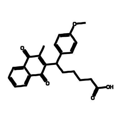 COc1ccc(C(CCCCC(=O)O)C2=C(C)C(=O)c3ccccc3C2=O)cc1